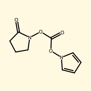 O=C(ON1CCCC1=O)On1cccc1